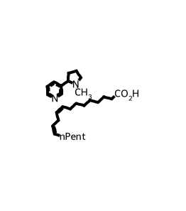 CCCCC/C=C\C/C=C\CCCCCCCC(=O)O.CN1CCCC1c1cccnc1